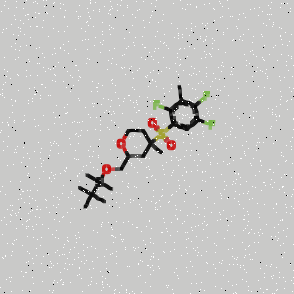 Cc1c(F)c(F)cc(S(=O)(=O)C2(C)CCOC(CO[Si](C)(C)C(C)(C)C)C2)c1F